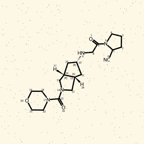 N#CC1CCCN1C(=O)CN[C@@H]1C[C@@H]2CN(C(=O)N3CCOCC3)C[C@@H]2C1